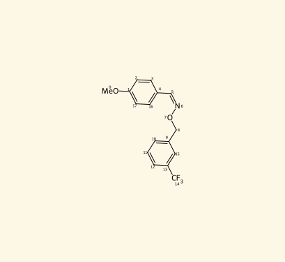 COc1ccc(/[C]=N\OCc2cccc(C(F)(F)F)c2)cc1